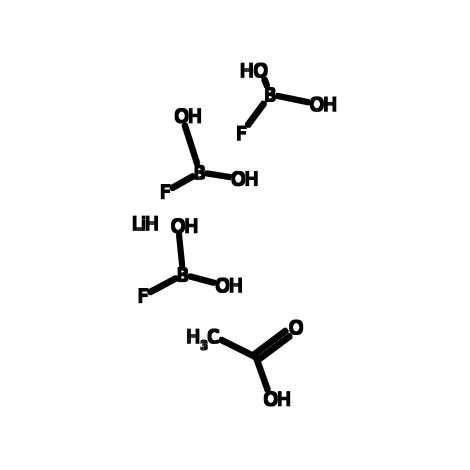 CC(=O)O.OB(O)F.OB(O)F.OB(O)F.[LiH]